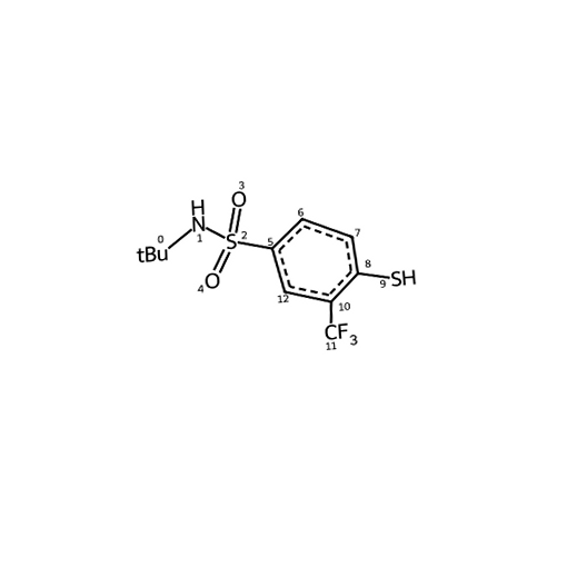 CC(C)(C)NS(=O)(=O)c1ccc(S)c(C(F)(F)F)c1